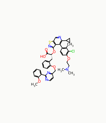 COc1ccccc1-c1nccc(COc2ccccc2C[C@@H](Oc2nsc3cnc(C4CC4)c(-c4ccc(OCCN(C)C)c(Cl)c4C)c23)C(=O)O)n1